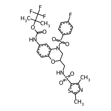 Cc1nc(C)c(S(=O)(=O)NCC2CN(S(=O)(=O)c3ccc(F)cc3)c3cc(NC(=O)OC(C)(C)C(F)(F)F)ccc3O2)s1